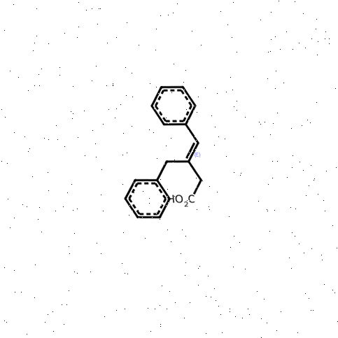 O=C(O)C/C(=C/c1ccccc1)Cc1ccccc1